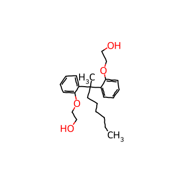 CCCCCCC(C)(c1ccccc1OCCO)c1ccccc1OCCO